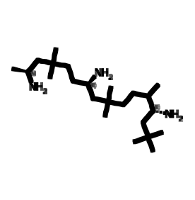 CC(CCC(C)(C)C[C@H](N)CCC(C)(C)C[C@H](C)N)[C@H](N)CC(C)(C)C